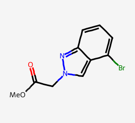 COC(=O)Cn1cc2c(Br)cccc2n1